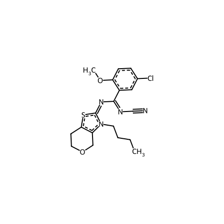 CCCCn1c2c(sc1=NC(=NC#N)c1cc(Cl)ccc1OC)CCOC2